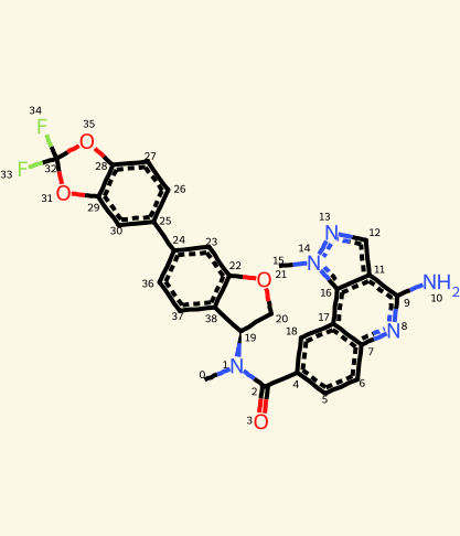 CN(C(=O)c1ccc2nc(N)c3cnn(C)c3c2c1)[C@@H]1COc2cc(-c3ccc4c(c3)OC(F)(F)O4)ccc21